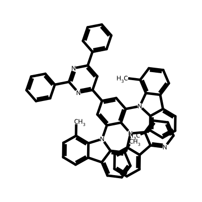 Cc1cccc2c3cccc(C)c3n(-c3cc(-c4cc(-c5ccccc5)nc(-c5ccccc5)n4)cc(-n4c5c(C)cccc5c5cccc(C)c54)c3-n3c4ccccc4c4ncccc43)c12